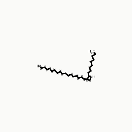 C=CCCCCCCCC1NCC1CCCCCCCCCCCCCCCCC=N